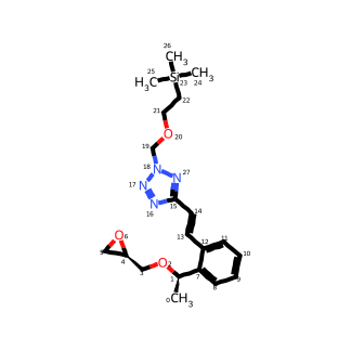 C[C@@H](OC[C@H]1CO1)c1ccccc1C=Cc1nnn(COCC[Si](C)(C)C)n1